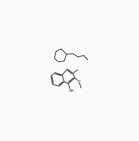 CCCCC1CCCCC1.COc1c(C)cc2ccccc2c1S